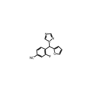 N#Cc1ccc(C(c2ccco2)n2cncn2)c(F)c1